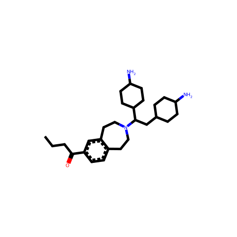 CCCC(=O)c1ccc2c(c1)CCN(C(CC1CCC(N)CC1)C1CCC(N)CC1)CC2